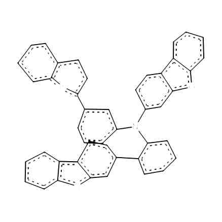 c1cc(-c2ccc3ccccc3c2)cc(N(c2ccc3c(c2)oc2ccccc23)c2ccccc2-c2ccc3c(c2)sc2ccccc23)c1